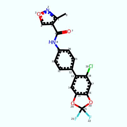 Cc1nocc1C(=O)Nc1ccc(-c2cc3c(cc2Cl)OC(F)(F)O3)cc1